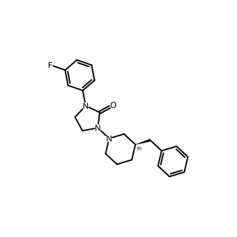 O=C1N(c2cccc(F)c2)CCN1N1CCC[C@H](Cc2ccccc2)C1